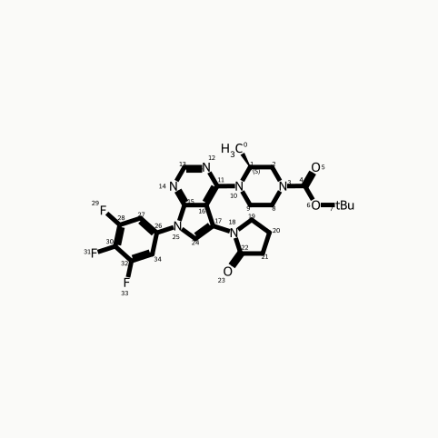 C[C@H]1CN(C(=O)OC(C)(C)C)CCN1c1ncnc2c1c(N1CCCC1=O)cn2-c1cc(F)c(F)c(F)c1